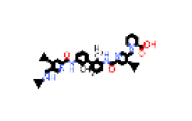 Cc1c(NC(=O)c2cc(C3CC3)c(CNC3CC3)cn2)cccc1-c1cccc(NC(=O)c2cc(C3CC3)c(CN3CCCC[C@H]3C(=O)O)cn2)c1C